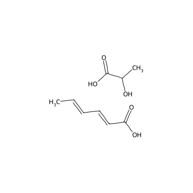 C/C=C/C=C/C(=O)O.CC(O)C(=O)O